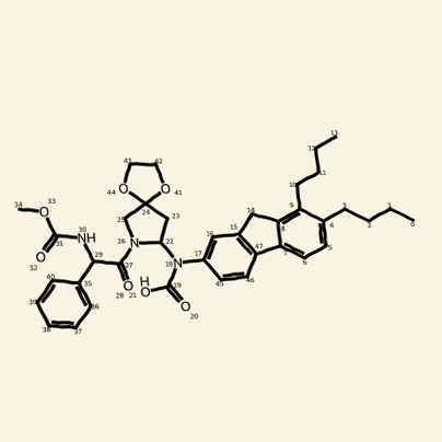 CCCCc1ccc2c(c1CCCC)Cc1cc(N(C(=O)O)C3CC4(CN3C(=O)C(NC(=O)OC)c3ccccc3)OCCO4)ccc1-2